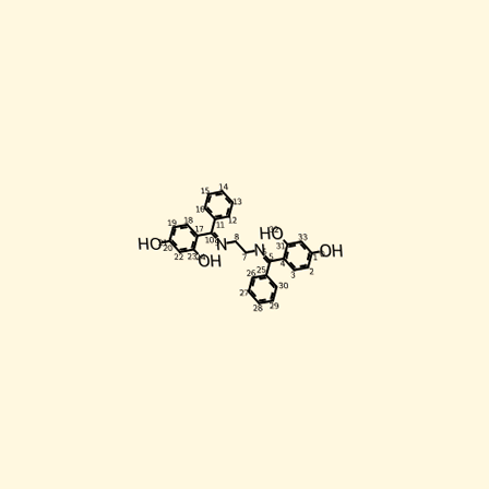 Oc1ccc(/C(=N/CC/N=C(\c2ccccc2)c2ccc(O)cc2O)c2ccccc2)c(O)c1